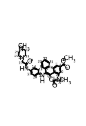 COC(=O)c1ccc(/C(C)=C(/Nc2ccc(NC(=O)CN3CCN(C)CC3)cc2)c2ccccc2)c(N(C)C=O)c1